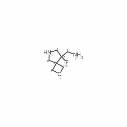 NCC1(F)CNCC12COC2